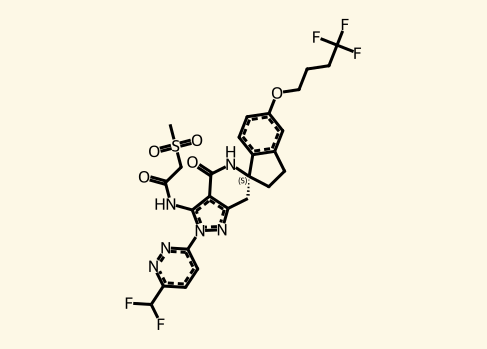 CS(=O)(=O)CC(=O)Nc1c2c(nn1-c1ccc(C(F)F)nn1)C[C@]1(CCc3cc(OCCCC(F)(F)F)ccc31)NC2=O